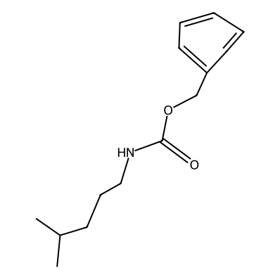 CC(C)CCCNC(=O)OCc1ccccc1